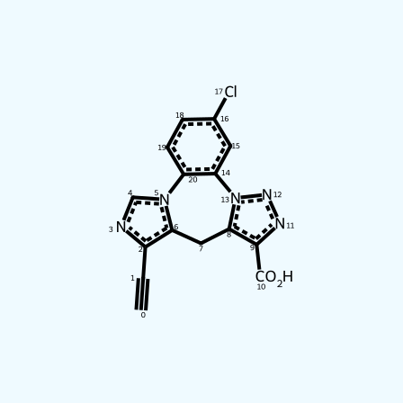 C#Cc1ncn2c1Cc1c(C(=O)O)nnn1-c1cc(Cl)ccc1-2